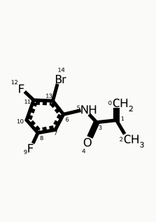 C=C(C)C(=O)Nc1cc(F)cc(F)c1Br